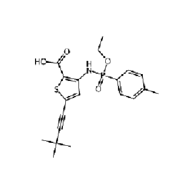 CCOP(=O)(Nc1cc(C#CC(C)(C)C)sc1C(=O)O)c1ccc(C)cc1